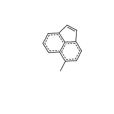 Cc1ccc2c3c(cccc13)C=C2